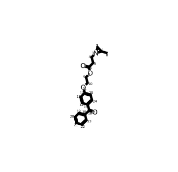 CC1CN1CCC(=O)OCCOc1ccc(C(=O)c2ccccc2)cc1